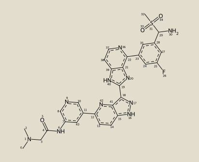 CN(C)CC(=O)Nc1cncc(-c2ccc3[nH]nc(-c4nc5c(-c6cc(F)cc(C(N)S(C)(=O)=O)c6)nccc5[nH]4)c3n2)c1